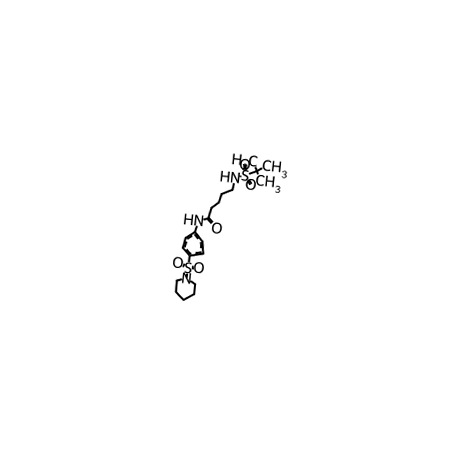 CC(C)(C)S(=O)(=O)NCCCCC(=O)Nc1ccc(S(=O)(=O)N2CCCCC2)cc1